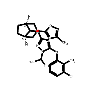 Cc1noc(N2C[C@H]3CC[C@@H](C2)C3Nc2nc(Oc3cccc(Cl)c3C)n(C(C)C)n2)n1